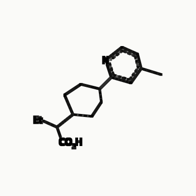 CCC(C(=O)O)C1CCC(c2cc(C)ccn2)CC1